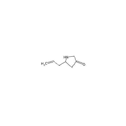 C=CCC1CC(=O)CN1